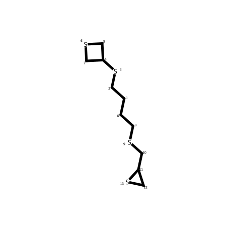 C(CCSC1CSC1)CSCC1CS1